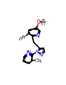 CCCc1cc(OC(C)C)cnc1Cc1ccnn1-c1ncccc1C#N